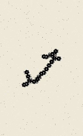 c1ccc(-c2ccc(-c3nc(-c4ccc5ccccc5c4)nc(-c4ccc5oc6cc7nc(-c8ccc9cc(-c%10ccc(-c%11ccc(-c%12ccc(-c%13nc(-c%14ccccc%14)nc(-c%14c%15nc(-c%16ccc%17ccccc%17c%16)oc%15cc%15c%14oc%14ccccc%14%15)n%13)cc%12)cc%11)cc%10)ccc9c8)oc7cc6c5c4)n3)cc2)cc1